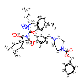 CCC[C@@H](NC(=O)N1C(=O)C(CC)(CC)[C@@H]1Oc1ccc(CN2CCN(C(=O)OCc3ccccc3)CC2)cc1)c1ccc(C)cc1